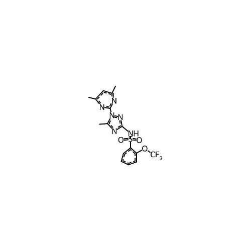 Cc1cc(C)nc(-n2nc(NS(=O)(=O)c3ccccc3OC(F)(F)F)nc2C)n1